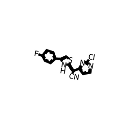 N#C/C(=C1\NC(c2ccc(F)cc2)=CS1)c1ccnc(Cl)n1